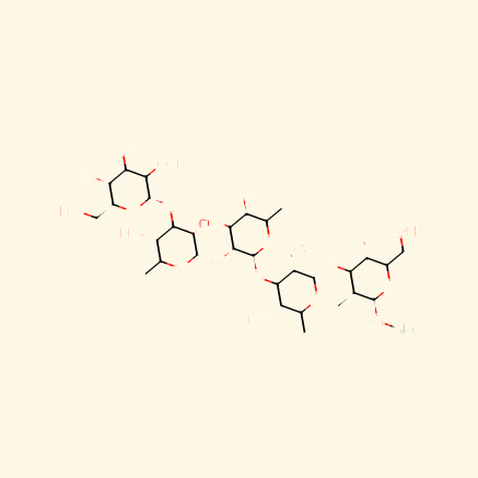 CCCO[C@@H]1OC(CO)[C@@H](O)C(O[C@@H]2OC(C)[C@H](O)C(O[C@@H]3OC(C)[C@H](O)C(O)[C@@H]3O[C@@H]3OC(C)[C@H](O)C(O[C@H]4O[C@@H](CO)[C@@H](O)C(O)C4O)[C@@H]3O)[C@@H]2OC(C)=O)[C@@H]1C